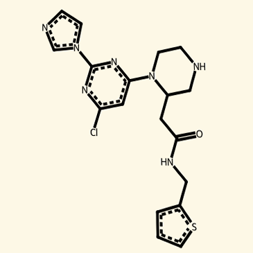 O=C(CC1CNCCN1c1cc(Cl)nc(-n2ccnc2)n1)NCc1cccs1